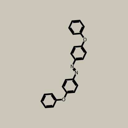 c1ccc(Oc2ccc(/N=N/c3ccc(Oc4ccccc4)cc3)cc2)cc1